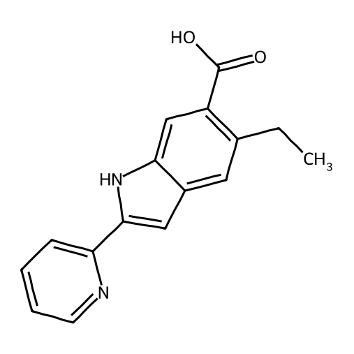 CCc1cc2cc(-c3ccccn3)[nH]c2cc1C(=O)O